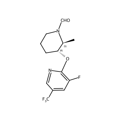 C[C@H]1[C@H](Oc2ncc(C(F)(F)F)cc2F)CCCN1C=O